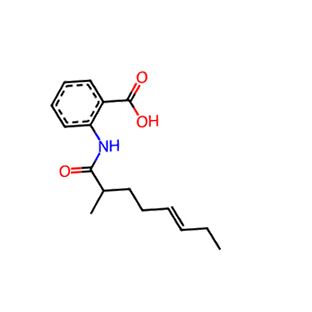 CCC=CCCC(C)C(=O)Nc1ccccc1C(=O)O